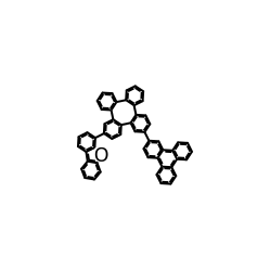 c1ccc2c(c1)-c1ccccc1-c1cc(-c3cccc4c3oc3ccccc34)ccc1-c1cc(-c3ccc4c5ccccc5c5ccccc5c4c3)ccc1-2